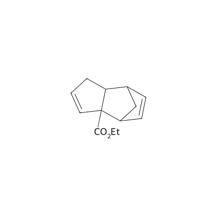 CCOC(=O)C12C=CCC1C1C=CC2C1